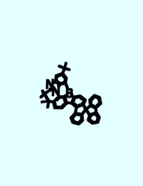 CC(C)(C)c1cc2c3c(c1)nc1n3-c3c(ccc4c3B2c2ccc3c(c2-4)-c2ccccc2C32c3ccccc3-c3ccccc32)C(C)(C)C1(C)C